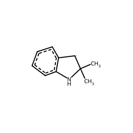 CC1(C)[CH]c2ccccc2N1